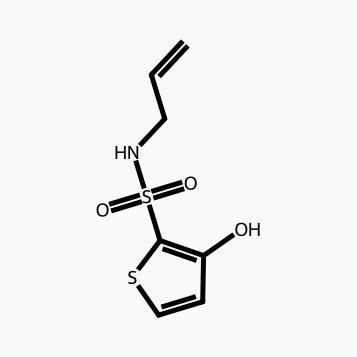 C=CCNS(=O)(=O)c1sccc1O